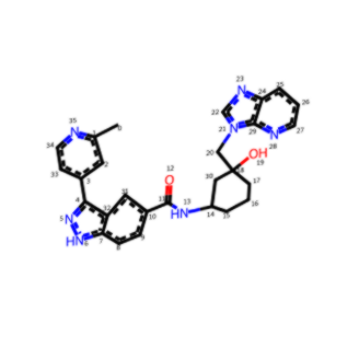 Cc1cc(-c2n[nH]c3ccc(C(=O)NC4CCCC(O)(Cn5cnc6cccnc65)C4)cc23)ccn1